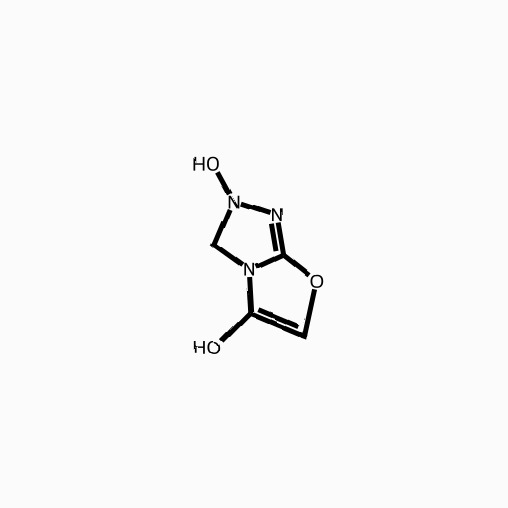 OC1=COC2=NN(O)CN12